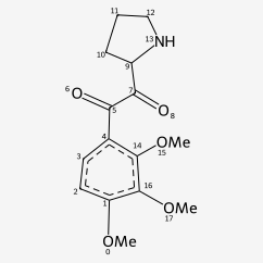 COc1ccc(C(=O)C(=O)C2CCCN2)c(OC)c1OC